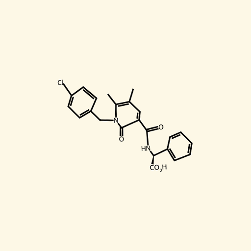 Cc1cc(C(=O)N[C@H](C(=O)O)c2ccccc2)c(=O)n(Cc2ccc(Cl)cc2)c1C